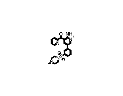 CN1CCN(S(=O)(=O)c2cccc(-c3cnc(N)c(C(=O)c4ccccn4)c3)c2)CC1